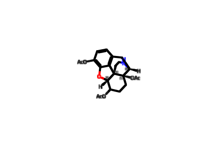 CC(=O)Oc1ccc2c3c1O[C@H]1C(OC(C)=O)CC[C@@]4(OC(C)=O)[C@@H](C2)NCC[C@]314